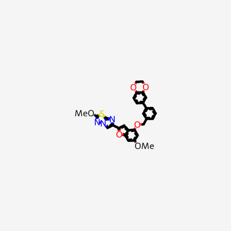 COc1cc(OCc2cccc(-c3ccc4c(c3)OCCO4)c2)c2cc(-c3cn4nc(OC)sc4n3)oc2c1